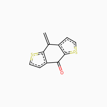 C=C1c2ccsc2C(=O)c2ccsc21